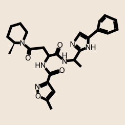 Cc1cc(C(=O)NC(CC(=O)N2CCCC[C@@H]2C)C(=O)NC(C)c2ncc(-c3ccccc3)[nH]2)no1